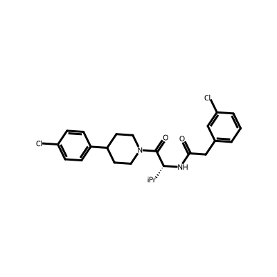 CC(C)[C@@H](NC(=O)Cc1cccc(Cl)c1)C(=O)N1CCC(c2ccc(Cl)cc2)CC1